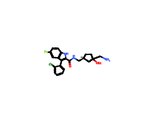 NCC1(O)CC[C@H](CNC(=O)c2[nH]c3ccc(F)cc3c2-c2ccccc2Cl)C1